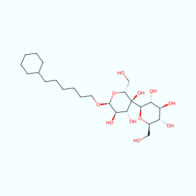 OC[C@H]1O[C@@H]([C@]2(O)[C@H](O)[C@@H](O)[C@@H](OCCCCCCC3CCCCC3)O[C@@H]2CO)[C@H](O)[C@@H](O)[C@@H]1O